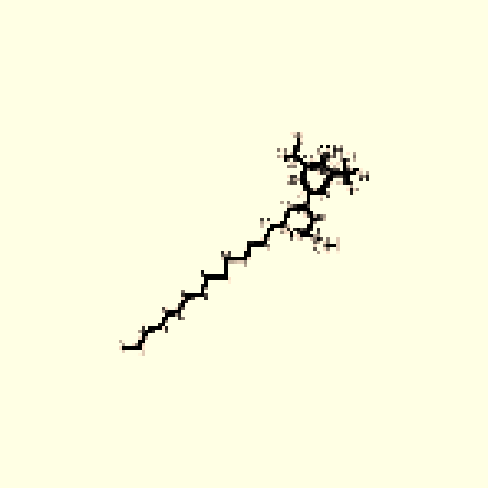 CCCCCCCCCCCCCCCCCC(CC(=O)O)c1cc(C(C)C)c(O)c(C(C)(C)C)c1